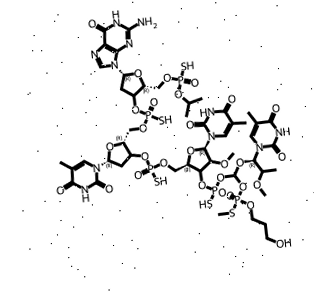 COC(C)[C@@H](OC(OP(=O)(S)OC1C(OC)[C@H](n2cc(C)c(=O)[nH]c2=O)O[C@@H]1COP(=O)(S)OC1C[C@H](n2cc(C)c(=O)[nH]c2=O)O[C@@H]1COP(=O)(S)OC1C[C@H](n2cnc3c(=O)[nH]c(N)nc32)O[C@@H]1COP(=O)(S)OC(C)C)OP(=O)(OCCCO)SC)n1cc(C)c(=O)[nH]c1=O